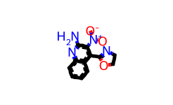 Nc1nc2ccccc2c(C2=NCCO2)c1[N+](=O)[O-]